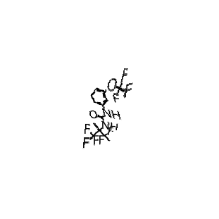 CC(F)(F)C(C)(NC(=O)Nc1cccc(OC(F)(F)F)c1)C(F)(F)F